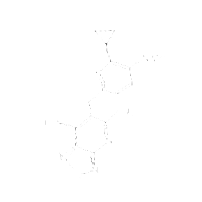 CNc1ccc(Cc2c(C)nc3nonc3c2N)nc1C1CC1